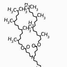 CNCCCCN(CCCC(=O)OCCC(C)CCCC(C)CCCC(C)CCCC(C)C)CCCC(=O)OCCC(C)CCCC(C)CCCC(C)CCCC(C)C